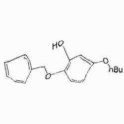 CCCCOc1ccc(OCc2ccccc2)c(O)c1